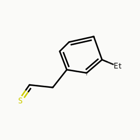 CCc1[c]c(CC=S)ccc1